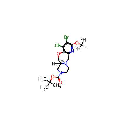 [2H]C([2H])([2H])Oc1nc2c(c(Cl)c1Br)OC[C@H]1CN(C(=O)OC(C)(C)C)CCN1C2